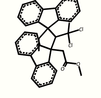 CCC1(C(C(Cl)(Cl)Cl)C2(CC(=O)OC)c3ccccc3-c3ccccc32)c2ccccc2-c2ccccc21